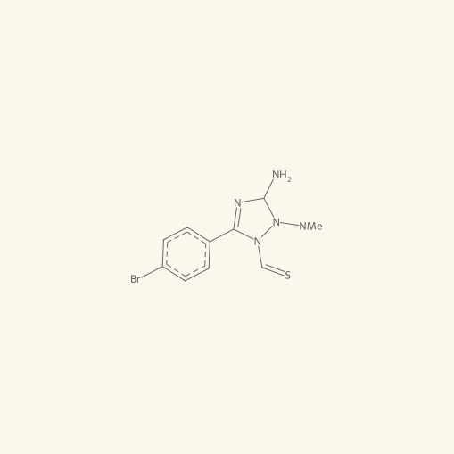 CNN1C(N)N=C(c2ccc(Br)cc2)N1C=S